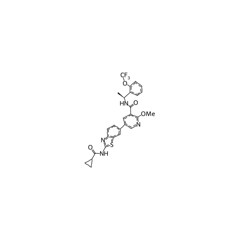 COc1ncc(-c2ccc3nc(NC(=O)C4CC4)sc3c2)cc1C(=O)N[C@@H](C)c1ccccc1OC(F)(F)F